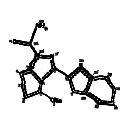 COc1[c]ccc2c1c(-c1cc3ccccc3s1)nn2C(N)=O